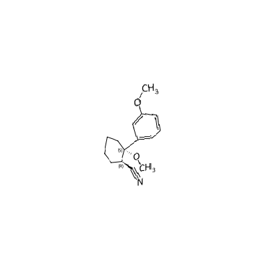 COc1cccc([C@]2(OC)CCCC[C@@H]2C#N)c1